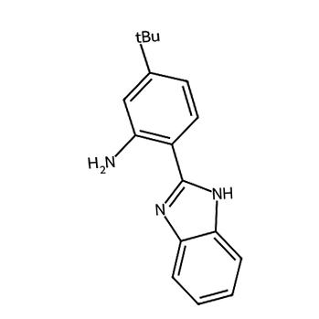 CC(C)(C)c1ccc(-c2nc3ccccc3[nH]2)c(N)c1